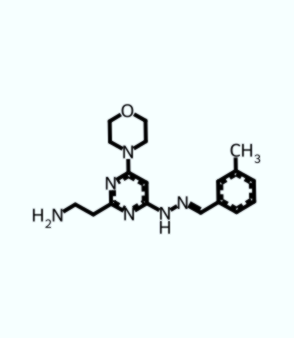 Cc1cccc(C=NNc2cc(N3CCOCC3)nc(CCN)n2)c1